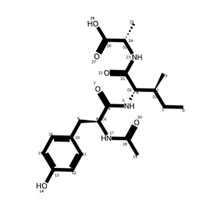 CC[C@H](C)[C@H](NC(=O)[C@H](Cc1ccc(O)cc1)NC(C)=O)C(=O)N[C@@H](C)C(=O)O